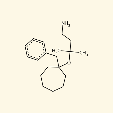 CC(C)(CCN)OC1(Cc2ccccc2)CCCCCC1